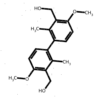 COc1ccc(-c2ccc(OC)c(CO)c2C)c(C)c1CO